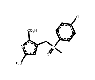 CC(C)(C)c1cc(CP(C)(=O)c2ccc(Cl)cc2)c(C(=O)O)s1